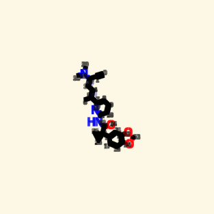 C#C/C(=C\C=C(/C)c1cccc(NC(=O)C2(c3ccc4c(c3)OCO4)CC2)n1)N(C)C